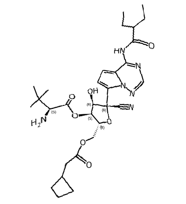 CCC(CC)C(=O)Nc1ncnn2c([C@]3(C#N)O[C@H](COC(=O)CC4CCC4)[C@@H](OC(=O)[C@@H](N)C(C)(C)C)[C@H]3O)ccc12